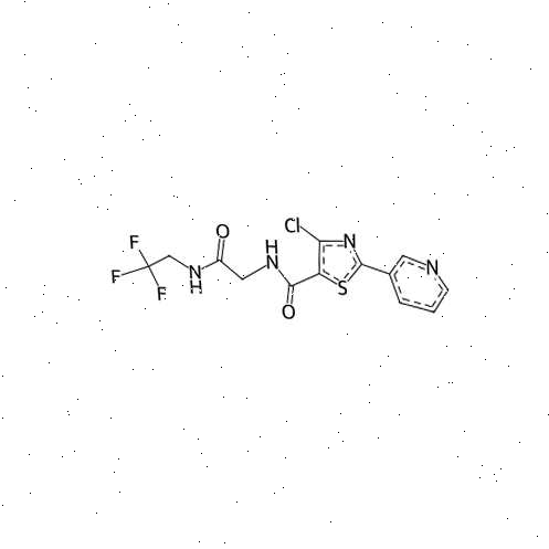 O=C(CNC(=O)c1sc(-c2cccnc2)nc1Cl)NCC(F)(F)F